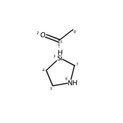 CC(=O)[Si@H]1CCNC1